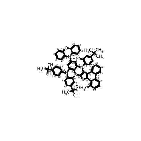 Cc1cc(C(C)(C)C)ccc1N1c2cc(N3c4ccccc4Oc4ccccc43)cc3c2B(c2cc(C(C)(C)C)ccc2N3c2ccc(C(C)(C)C)cc2)c2sc3c4c(C)cccc4c4ccccc4c3c21